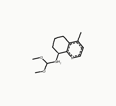 COC(OC)[SiH2]C1CCCc2c(C)ccnc21